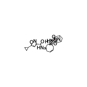 CN1CC2CC(C1)N2S(=O)(=O)N[C@H]1CC=CC[C@H](NC(=O)c2cc(C3CC3)on2)C1